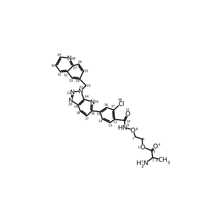 CC(N)C(=O)OCCONC(=O)c1ccc(-c2ccc3nnn(Cc4ccc5ncccc5c4)c3n2)cc1Cl